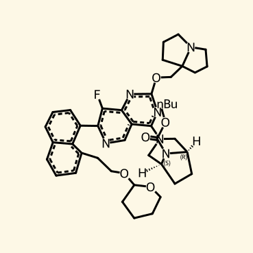 CCCCOC(=O)N1[C@@H]2CC[C@H]1CN(c1nc(OCC34CCCN3CCC4)nc3c(F)c(-c4cccc5cccc(CCOC6CCCCO6)c45)ncc13)C2